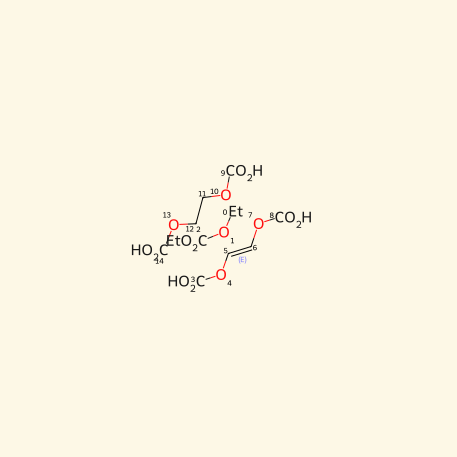 CCOC(=O)OCC.O=C(O)O/C=C/OC(=O)O.O=C(O)OCCOC(=O)O